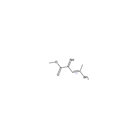 B/C(C)=C/C(=N)C(=O)OC